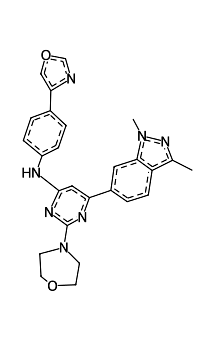 Cc1nn(C)c2cc(-c3cc(Nc4ccc(-c5cocn5)cc4)nc(N4CCOCC4)n3)ccc12